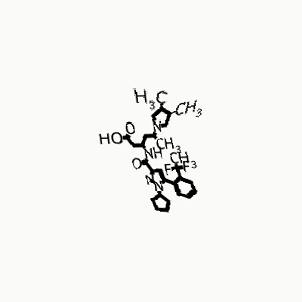 CC(CC(CC(=O)O)NC(=O)c1cc(-c2ccccc2C(C)(F)F)n(C2CCCC2)n1)N1C[C@@H](C)[C@H](C)C1